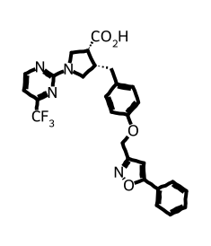 O=C(O)[C@H]1CN(c2nccc(C(F)(F)F)n2)C[C@H]1Cc1ccc(OCc2cc(-c3ccccc3)on2)cc1